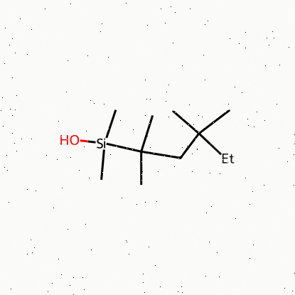 CCC(C)(C)CC(C)(C)[Si](C)(C)O